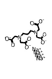 O=C([O-])CN(CCCN(CC(=O)[O-])CC(=O)[O-])CC(=O)[O-].[Na+].[Na+].[Na+].[Na+]